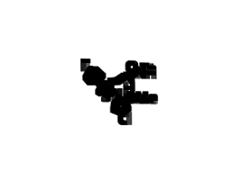 CCNC(=O)NCCCn1c(-c2ccc(F)cc2)cs/c1=N\c1ccc(Cl)cc1OC